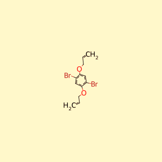 C=CCOc1cc(Br)c(OCC=C)cc1Br